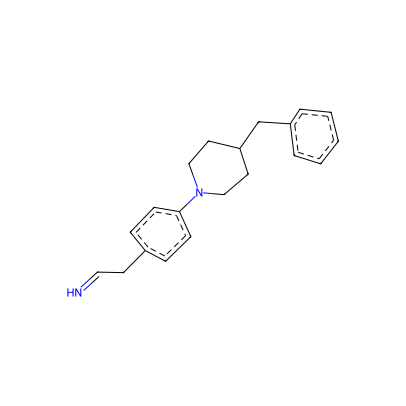 N=CCc1ccc(N2CCC(Cc3ccccc3)CC2)cc1